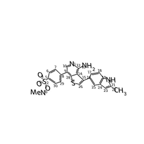 CNOS(=O)(=O)c1ccc(-c2cnc(N)c3c(-c4ccc5[nH]c(C)cc5c4)csc23)cc1